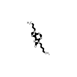 CCCCCn1c2ncnc3c(ncn3CCCC)c-2nc1=O